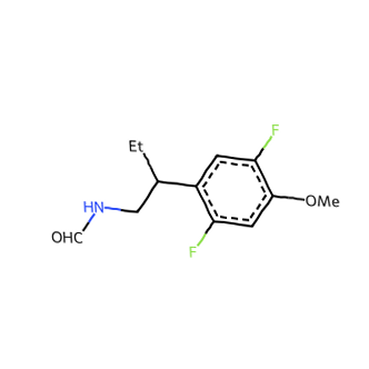 CCC(CNC=O)c1cc(F)c(OC)cc1F